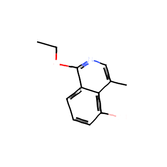 Bc1cccc2c(OCC)ncc(C)c12